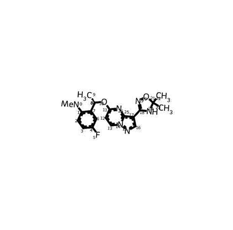 CNc1ccc(F)cc1[C@@H](C)Oc1ccn2ncc(C3=NOC(C)(C)N3)c2n1